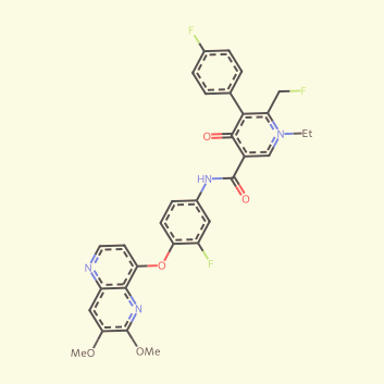 CCn1cc(C(=O)Nc2ccc(Oc3ccnc4cc(OC)c(OC)nc34)c(F)c2)c(=O)c(-c2ccc(F)cc2)c1CF